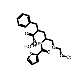 CCOCOCC(CC(Cc1ccccc1)C(=O)NO)NC(=O)c1cccs1